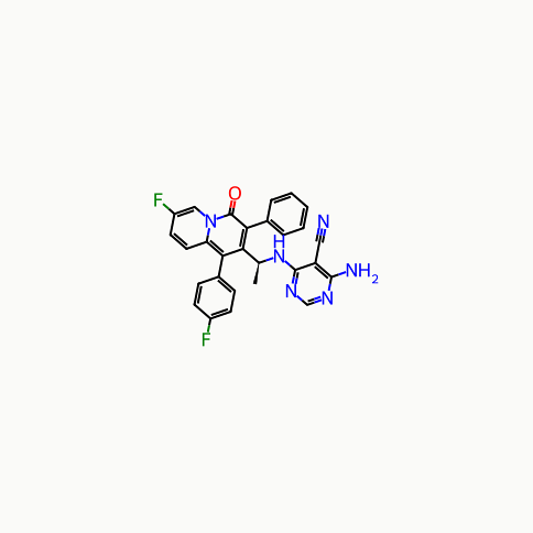 C[C@H](Nc1ncnc(N)c1C#N)c1c(-c2ccccc2)c(=O)n2cc(F)ccc2c1-c1ccc(F)cc1